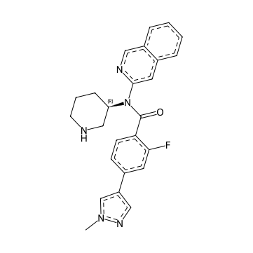 Cn1cc(-c2ccc(C(=O)N(c3cc4ccccc4cn3)[C@@H]3CCCNC3)c(F)c2)cn1